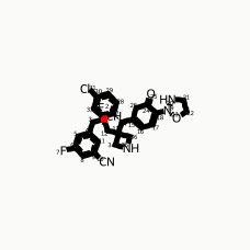 C[C@](F)(Cc1cc(F)cc(C#N)c1)CC1([C@@H](C2=CC=C(N3NCCO3)C(=O)C2)c2ccc(Cl)cc2)CNC1